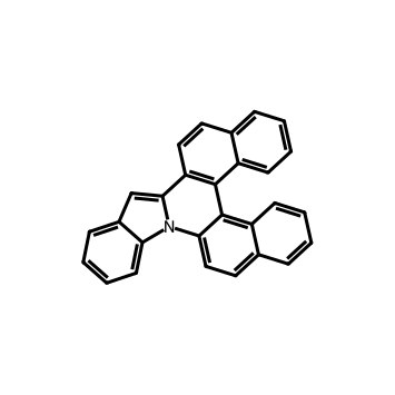 c1ccc2c(c1)ccc1c2c2c3ccccc3ccc2n2c3ccccc3cc12